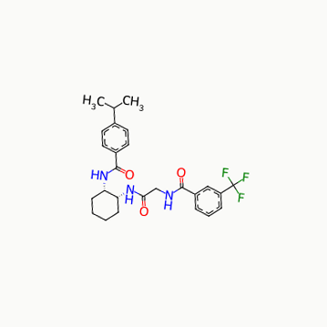 CC(C)c1ccc(C(=O)N[C@H]2CCCC[C@H]2NC(=O)CNC(=O)c2cccc(C(F)(F)F)c2)cc1